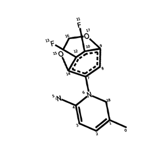 CC1=CC=C([N])N(c2cc3c(F)c(F)c2OCO3)C1